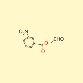 O=CCOC(=O)c1cccc([N+](=O)[O-])c1